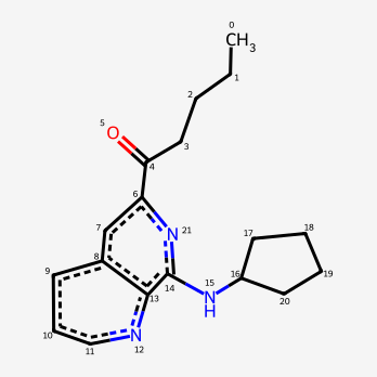 CCCCC(=O)c1cc2cccnc2c(NC2CCCC2)n1